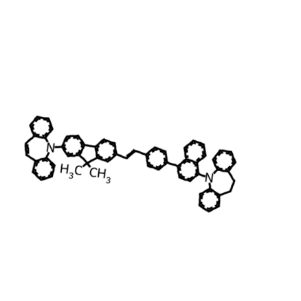 CC1(C)c2cc(/C=C/c3ccc(-c4ccc(N5c6ccccc6CCc6ccccc65)c5ccccc45)cc3)ccc2-c2ccc(N3c4ccccc4C=Cc4ccccc43)cc21